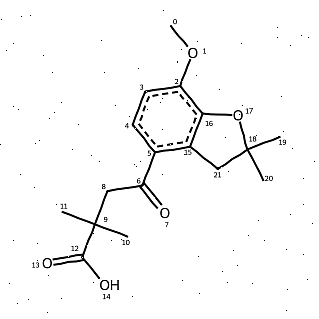 COc1ccc(C(=O)CC(C)(C)C(=O)O)c2c1OC(C)(C)C2